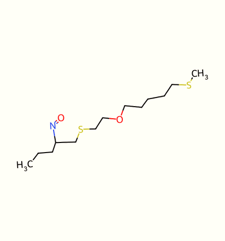 CCCC(CSCCOCCCCCSC)N=O